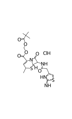 CC1C=C(C(=O)OCOC(=O)C(C)(C)C)N2C(=O)C(NC(=O)Cc3csc(=N)[nH]3)[C@@H]2S1.Cl